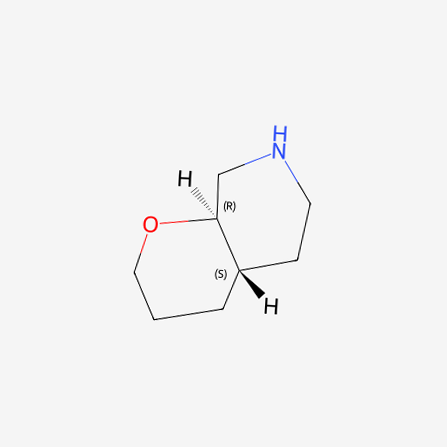 C1CO[C@H]2CNCC[C@@H]2C1